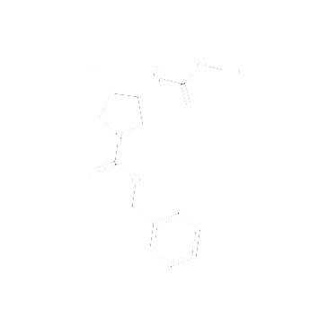 CCC[C@H]1CN(C(=O)OCc2ccccc2)C[C@H]1NC(=O)OC(C)(C)C